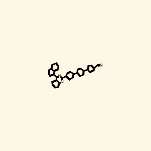 N#Cc1ccc(-c2ccc(-c3ccc(-c4nc(-c5cccc6ccccc56)c5ccccc5n4)cc3)cc2)cc1